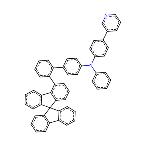 c1ccc(N(c2ccc(-c3cccnc3)cc2)c2ccc(-c3ccccc3-c3cccc4c3-c3ccccc3C43c4ccccc4-c4ccccc43)cc2)cc1